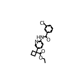 CCOC(=O)C1(c2ccc(NC(=O)c3cccc(Cl)c3)nc2)CCC1